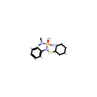 CN(C)P(N)(=O)N(SC1CCCCC1)c1ccccc1